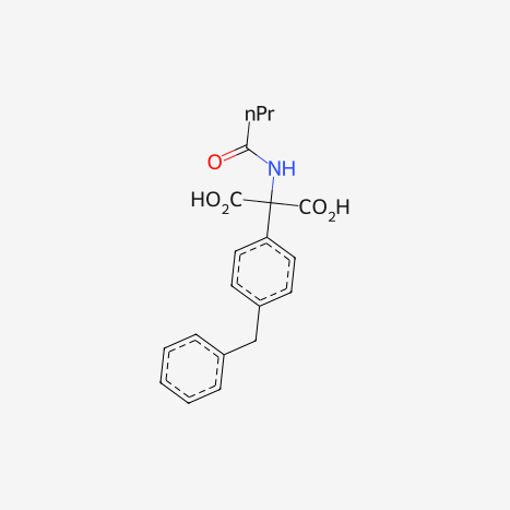 CCCC(=O)NC(C(=O)O)(C(=O)O)c1ccc(Cc2ccccc2)cc1